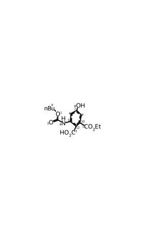 CCCCOC(=O)Nc1cc(O)cc(C(=O)OCC)c1C(=O)O